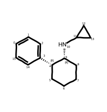 c1ccc([C@H]2CCCC[C@H]2NC2CC2)cc1